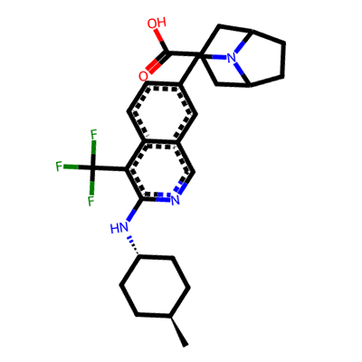 C[C@H]1CC[C@H](Nc2ncc3cc(CN4C5CCC4CC(C(=O)O)C5)ccc3c2C(F)(F)F)CC1